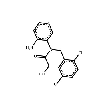 Nc1ccncc1N(Cc1cc(Cl)ccc1Cl)C(=O)CO